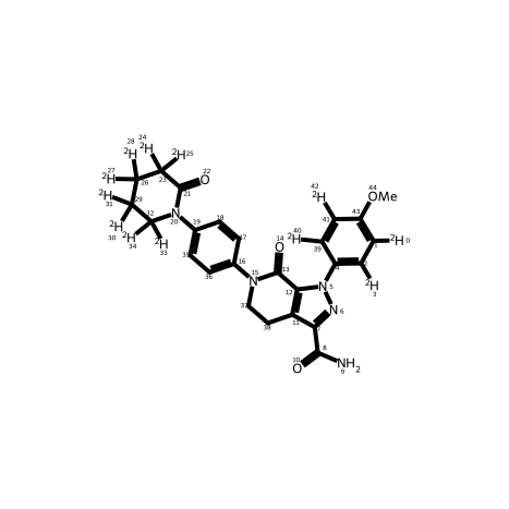 [2H]c1c([2H])c(-n2nc(C(N)=O)c3c2C(=O)N(c2ccc(N4C(=O)C([2H])([2H])C([2H])([2H])C([2H])([2H])C4([2H])[2H])cc2)CC3)c([2H])c([2H])c1OC